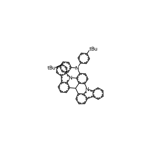 CC(C)(C)c1ccc(N(c2ccc(C(C)(C)C)cc2)c2ccc3c4c2-n2c5ccccc5c5cccc(c52)C4c2cccc4c5ccccc5n-3c24)cc1